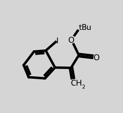 C=C(C(=O)OC(C)(C)C)c1ccccc1I